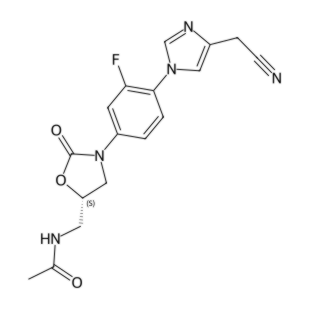 CC(=O)NC[C@H]1CN(c2ccc(-n3cnc(CC#N)c3)c(F)c2)C(=O)O1